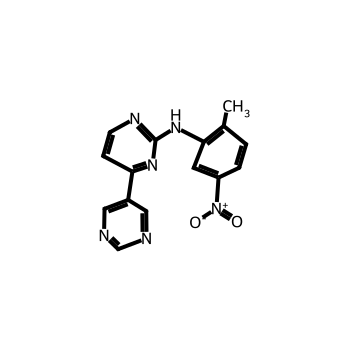 Cc1ccc([N+](=O)[O-])cc1Nc1nccc(-c2cncnc2)n1